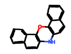 c1ccc2c3c(ccc2c1)Nc1ccc2ccccc2c1O3